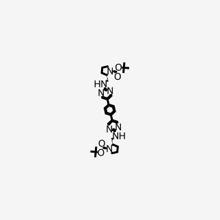 CC(C)(C)OC(=O)N1CCC[C@H]1CNc1ncc(-c2ccc(-c3cnc(NC[C@@H]4CCCN4C(=O)OC(C)(C)C)nc3)cc2)cn1